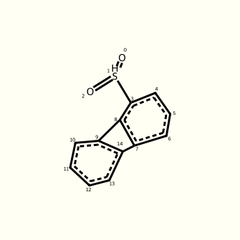 O=[SH](=O)c1cccc2c1-c1ccccc1-2